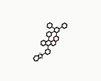 c1ccc(-c2cc(-c3ccccc3)c(-c3cccc(-c4c5ccccc5c(-c5cccc(-c6nc7ccccc7s6)c5)c5ccccc45)c3)c(-c3ccccc3)c2)cc1